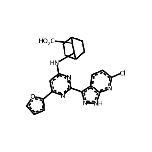 O=C(O)C1C2CCC(CC2)C1Nc1cc(-c2ccco2)nc(-c2n[nH]c3nc(Cl)ccc23)n1